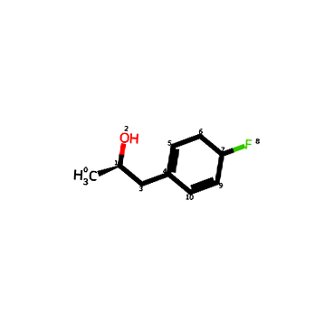 C[C@@H](O)CC1=CCC(F)C=C1